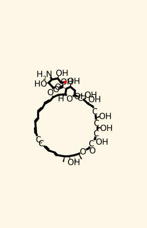 CC1O[C@@H](O[C@H]2/C=C/C=C/C=C/C=C/CC/C=C/C=C/[C@H](C)[C@@H](O)[C@@H](C)[C@H](C)OC(=O)C[C@H](O)C[C@H](O)C[C@H](O)CC[C@@H](O)[C@H](O)C[C@]3(O)C[C@H](O)[C@@H](C(=O)O)[C@H](C2)O3)[C@H](O)C(N)[C@@H]1O